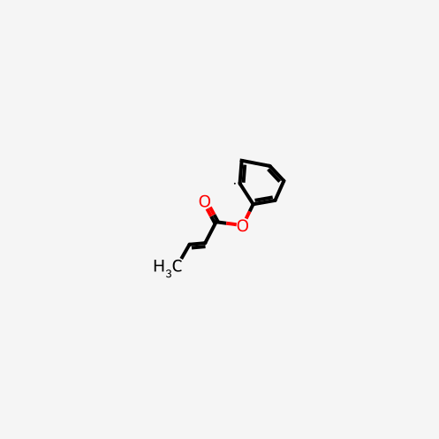 C/C=C/C(=O)Oc1[c]cccc1